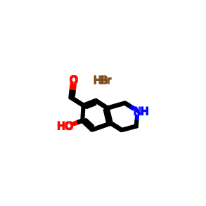 Br.O=Cc1cc2c(cc1O)CCNC2